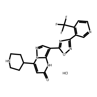 Cl.O=c1cc(C2CCNCC2)n2ncc(-c3nc(-c4cnccc4C(F)(F)F)no3)c2[nH]1